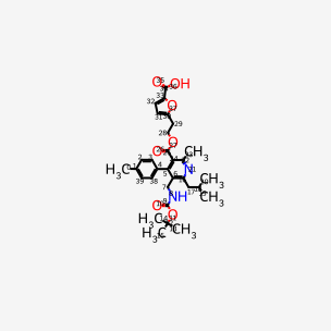 Cc1ccc(-c2c(CNC(=O)OC(C)(C)C)c(CC(C)C)nc(C)c2C(=O)OCCc2ccc(C(=O)O)o2)cc1